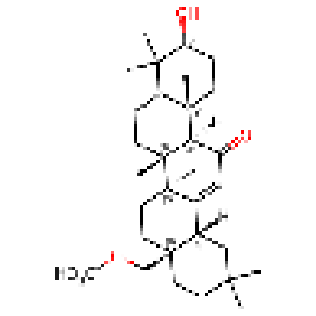 CC1(C)CC[C@]2(COC(=O)O)CC[C@]3(C)C(=CC(=O)[C@@H]4[C@@]5(C)CC[C@H](O)C(C)(C)C5CC[C@]43C)[C@@H]2C1